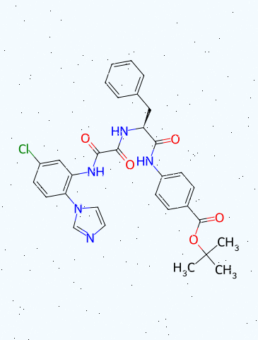 CC(C)(C)OC(=O)c1ccc(NC(=O)[C@H](Cc2ccccc2)NC(=O)C(=O)Nc2cc(Cl)ccc2-n2ccnc2)cc1